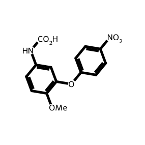 COc1ccc(NC(=O)O)cc1Oc1ccc([N+](=O)[O-])cc1